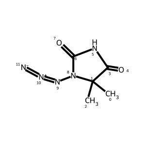 CC1(C)C(=O)NC(=O)N1N=[N+]=[N-]